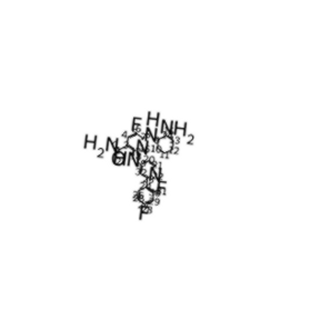 NC(=O)c1cc(F)c(NC2CCCCC2N)nc1Nc1ccnc(-c2ccc(F)cc2F)c1